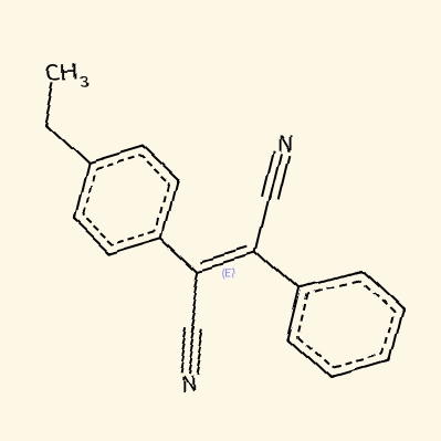 CCc1ccc(/C(C#N)=C(\C#N)c2ccccc2)cc1